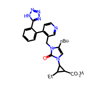 CCCCc1cn(C2C(CC)C2C(=O)O)c(=O)n1Cc1cnccc1-c1ccccc1-c1nnn[nH]1